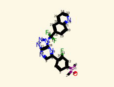 CP(C)(=O)c1ccc(-c2cnc3nnn(C(F)(F)c4ccc5ncccc5c4)c3n2)c(F)c1